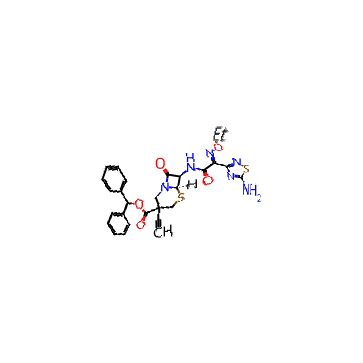 C#CC1(C(=O)OC(c2ccccc2)c2ccccc2)CS[C@@H]2C(NC(=O)C(=NOCC)c3nsc(N)n3)C(=O)N2C1